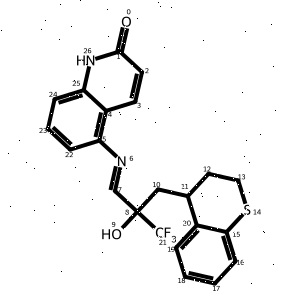 O=c1ccc2c(N=CC(O)(CC3CCSc4ccccc43)C(F)(F)F)cccc2[nH]1